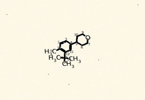 Cc1ccc(C2CCOCC2)cc1C(C)(C)C